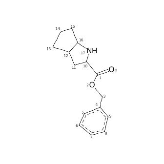 O=C(OCc1ccccc1)C1CC2CCCC2N1